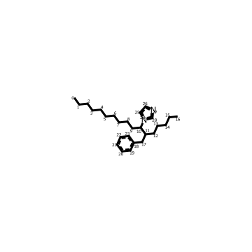 CCCCCCCCCCC(C(CCCCC)Cc1ccccc1)n1ccnc1